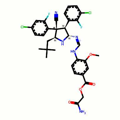 COc1cc(C(=O)OCC(N)=O)ccc1N/C=N\[C@@H]1N[C@@H](CC(C)(C)C)[C@](C#N)(c2ccc(Cl)cc2F)[C@H]1c1cccc(Cl)c1F